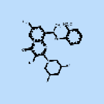 Cc1cc([C@@H](C)Nc2ccccc2C(=O)O)c2nc(N3C[C@H](F)C[C@H](F)C3)c(C#N)c(=O)n2c1